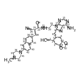 C#Cc1cc2c(cc1Sc1nc3c(N)ncnc3n1CCCNC(=O)/C(C#N)=C/c1ccc3cc(N4CCN(C)CC4)ccc3c1)OCO2